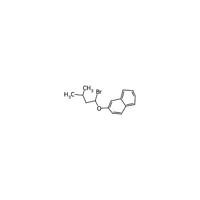 CC(C)CC(Br)Oc1ccc2ccccc2c1